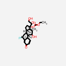 CCOC(=O)O[C@]1(C(=O)CO)CC[C@H]2[C@@H]3C[C@H](F)C4=CC(=O)C=C[C@]4(C)[C@H]3C(O)C[C@@]21C